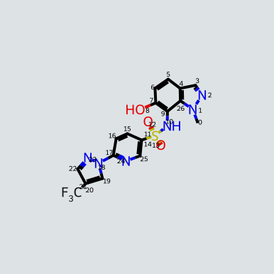 Cn1ncc2ccc(O)c(NS(=O)(=O)c3ccc(-n4cc(C(F)(F)F)cn4)nc3)c21